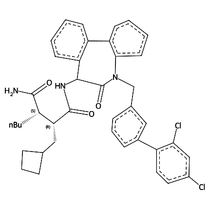 CCCC[C@H](C(N)=O)[C@@H](CC1CCC1)C(=O)NC1C(=O)N(Cc2cccc(-c3ccc(Cl)cc3Cl)c2)c2ccccc2-c2ccccc21